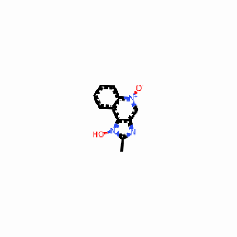 Cc1nc2c[n+]([O-])c3ccccc3c2n1O